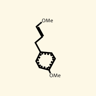 COC=CCc1ccc(OC)cc1